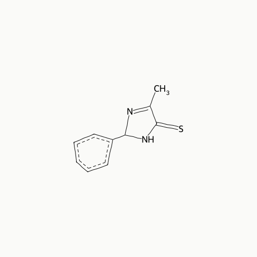 CC1=NC(c2ccccc2)NC1=S